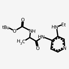 CCNc1cnccc1NC(=O)C(C)NC(=O)OC(C)(C)C